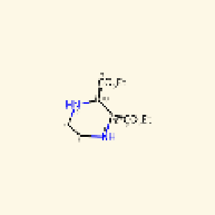 CCOC(=O)[C@H]1NCCN[C@H]1C(=O)OCC